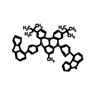 Cc1cc2c3c(c1)N(c1ccc(-c4cccc5sc6ccccc6c45)cc1)c1cc(C(C)(C)C)ccc1B3c1ccc(C(C)(C)C)cc1N2c1ccc(-c2cccc3sc4ccccc4c23)cc1